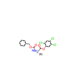 CC(C)[C@H](NC(=O)OCc1ccccc1)C(=O)Oc1cc(Cl)c(Cl)cc1Cl